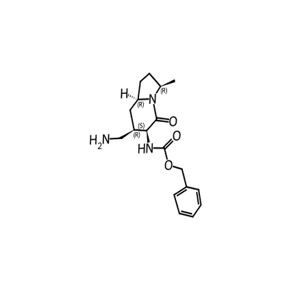 C[C@@H]1CC[C@@H]2C[C@H](CN)[C@H](NC(=O)OCc3ccccc3)C(=O)N21